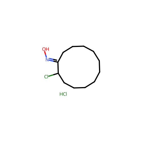 Cl.O/N=C1\CCCCCCCCCCC1Cl